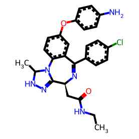 CCNC(=O)C[C@@H]1N=C(c2ccc(Cl)cc2)c2cc(Oc3ccc(N)cc3)ccc2N2C1=NNC2C